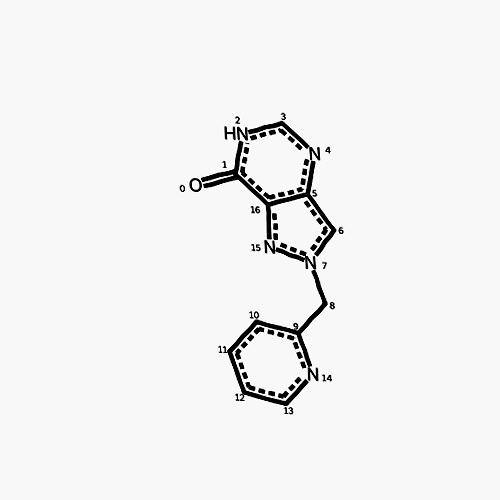 O=c1[nH]cnc2cn(Cc3ccccn3)nc12